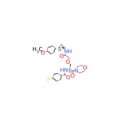 COc1ccc([C@@H]2C[C@H]2NC(=O)COC[C@H](NC(=O)c2ccc(F)cc2)C(=O)N2CCOCC2)cc1